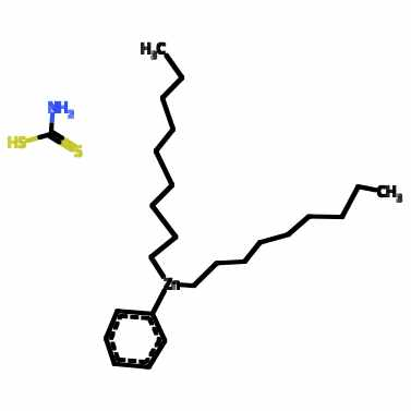 CCCCCCCC[CH2][Zn]([CH2]CCCCCCCC)[c]1ccccc1.NC(=S)S